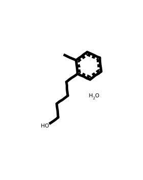 Cc1ccccc1CCCCO.O